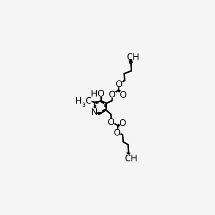 C#CCCCOC(=O)OCc1cnc(C)c(O)c1COC(=O)OCCCC#C